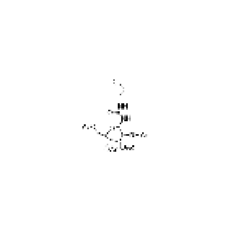 CC(=O)N[C@H]1[C@@H](OC(C)=O)[C@H](OC(C)=O)[C@@H](COC(C)=O)O[C@H]1NC(=O)NCCCl